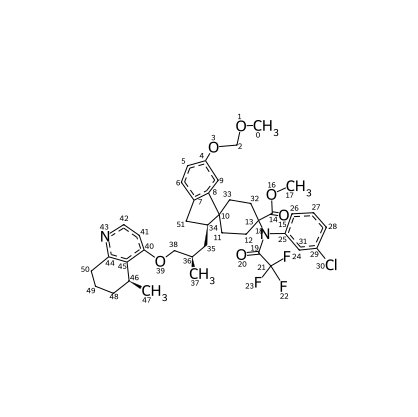 COCOc1ccc2c(c1)C1(CCC(C(=O)OC)(N(C(=O)C(F)(F)F)c3cccc(Cl)c3)CC1)[C@@H](C[C@@H](C)COc1ccnc3c1[C@@H](C)CCC3)C2